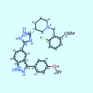 COc1cccc(F)c1CN1CCC[C@@H](c2nc(-c3ccc4[nH]nc(-c5ccc(OC(C)C)cc5)c4c3)n[nH]2)C1